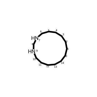 C1CCCCCCNCNCCCCC1